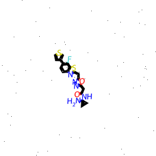 NC1(NC(=O)Cc2nnc(Cc3nc4ccc(-c5ccsc5)c(F)c4s3)o2)CC1